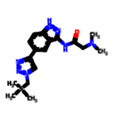 CN(C)CC(=O)Nc1n[nH]c2ccc(-c3cn(C[Si](C)(C)C)nn3)cc12